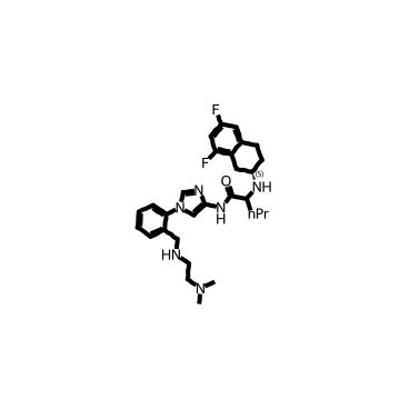 CCCC(N[C@H]1CCc2cc(F)cc(F)c2C1)C(=O)Nc1cn(-c2ccccc2CNCCN(C)C)cn1